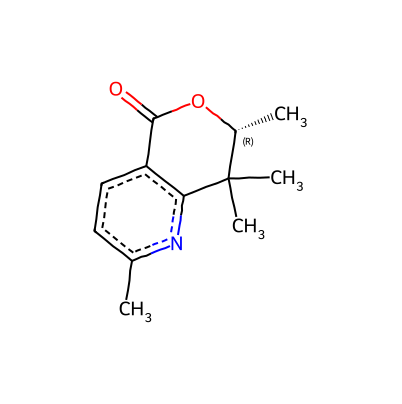 Cc1ccc2c(n1)C(C)(C)[C@@H](C)OC2=O